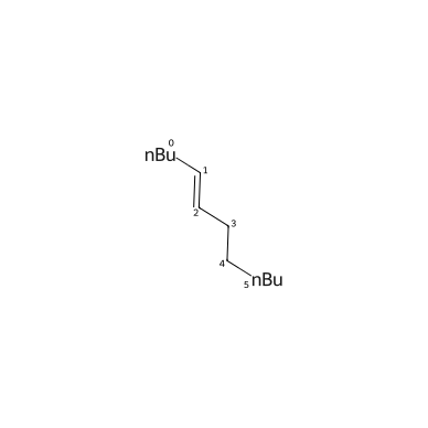 [CH2]CCC/C=C/CCCC[CH]C